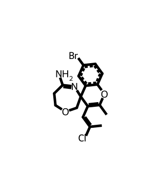 CC1=C(/C=C(\C)Cl)C2(COCCC(N)=N2)c2cc(Br)ccc2O1